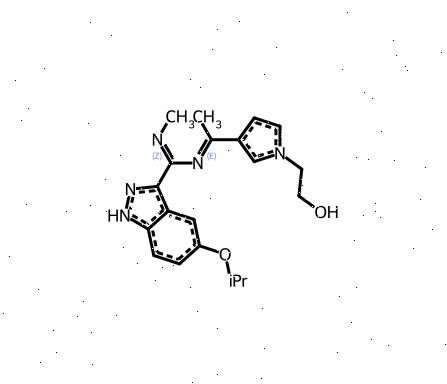 C/N=C(\N=C(/C)c1ccn(CCO)c1)c1n[nH]c2ccc(OC(C)C)cc12